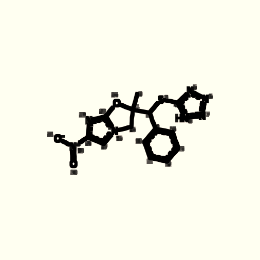 CC1(C(Sc2nnn[nH]2)c2ccccc2)Cn2cc([N+](=O)[O-])nc2O1